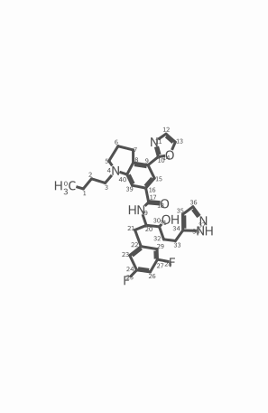 CCCCN1CCCc2c(-c3ncco3)cc(C(=O)NC(Cc3cc(F)cc(F)c3)C(O)CCc3ccn[nH]3)cc21